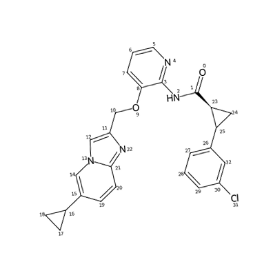 O=C(Nc1ncccc1OCc1cn2cc(C3CC3)ccc2n1)[C@H]1CC1c1cccc(Cl)c1